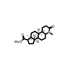 COC(=O)C1CC[C@H]2[C@@H]3CCC4N(C)C(=O)CC[C@]4(C)[C@@H]3CC[C@]12C